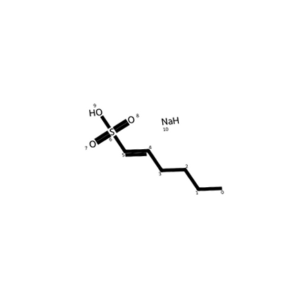 CCCCC=CS(=O)(=O)O.[NaH]